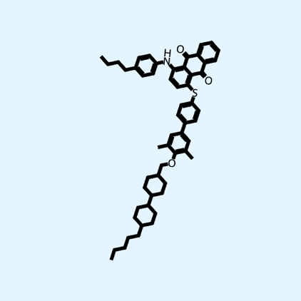 CCCCCC1CCC(C2CCC(COc3c(C)cc(-c4ccc(Sc5ccc(Nc6ccc(CCCC)cc6)c6c5C(=O)c5ccccc5C6=O)cc4)cc3C)CC2)CC1